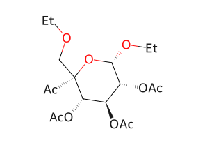 CCOC[C@@]1(C(C)=O)O[C@H](OCC)[C@H](OC(C)=O)[C@@H](OC(C)=O)[C@@H]1OC(C)=O